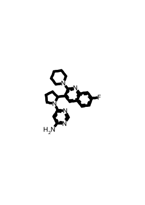 Nc1cc(N2CCCC2c2cc3ccc(F)cc3nc2N2CCCCC2)ncn1